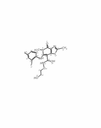 Cc1nc2c(=O)n(C)c(Nc3ccc(I)cc3F)c(C(O)NOCCO)c2s1